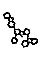 c1ccc(-c2cc(-c3ccc4c(c3)sc3ccccc34)cc3c2oc2c(-n4c5ccccc5c5ccccc54)cccc23)cc1